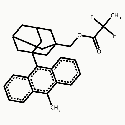 Cc1c2ccccc2c(C23CC4CC(CC(COC(=O)C(C)(F)F)(C4)C2)C3)c2ccccc12